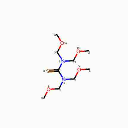 COCN(COC)C(=S)N(COC)COC